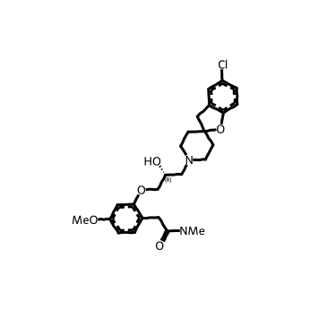 CNC(=O)Cc1ccc(OC)cc1OC[C@H](O)CN1CCC2(CC1)Cc1cc(Cl)ccc1O2